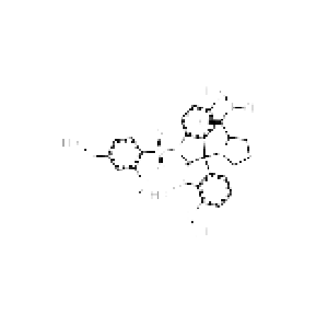 COc1ccc(S(=O)(=O)N2C(=O)C(c3cccc(OC)c3OC)(N3CCCC3C(=O)N(C)C)c3cc(Cl)ccc32)c(OC)c1